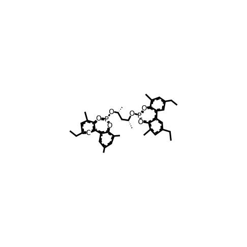 CCc1cc(C)c2op(O[C@H](C)C[C@@H](C)Op3oc4c(C)cc(CC)cc4c4cc(CC)cc(C)c4o3)oc3c(C)cc(C)cc3c2c1